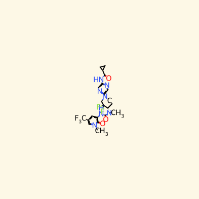 CN(C(=O)Nc1cc(C(F)(F)F)cn(C)c1=O)[C@H]1CCN(c2cnc(NC(=O)C3CC3)cn2)CC1(F)F